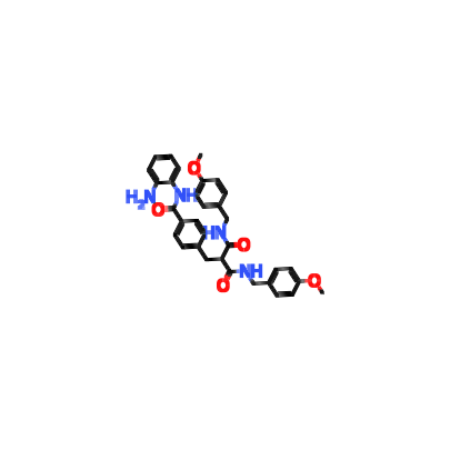 COc1ccc(CNC(=O)C(Cc2ccc(C(=O)Nc3ccccc3N)cc2)C(=O)NCc2ccc(OC)cc2)cc1